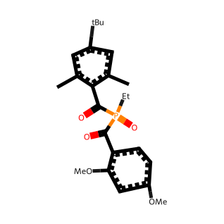 CCP(=O)(C(=O)c1ccc(OC)cc1OC)C(=O)c1c(C)cc(C(C)(C)C)cc1C